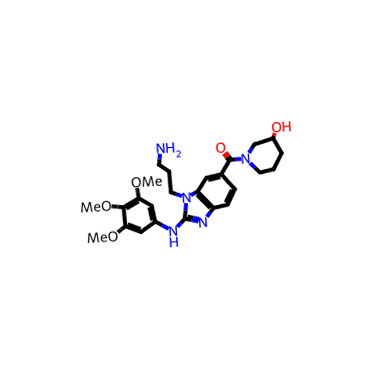 COc1cc(Nc2nc3ccc(C(=O)N4CCCC(O)C4)cc3n2CCCN)cc(OC)c1OC